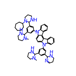 CN1CCCNC1c1cc(C2N=CCCN2)cc(-n2c3ccccc3c3c4c5ccccc5n(-c5cc(C6NCCCN6C)cc(C6NCCCN6C6CCCCCC6)c5)c4ccc32)c1